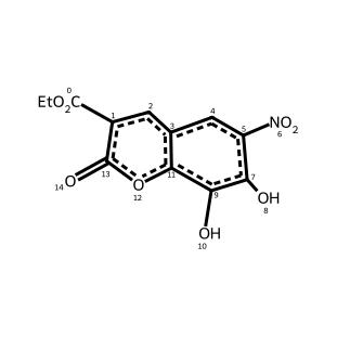 CCOC(=O)c1cc2cc([N+](=O)[O-])c(O)c(O)c2oc1=O